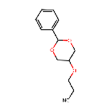 N#CCCOC1COC(c2ccccc2)OC1